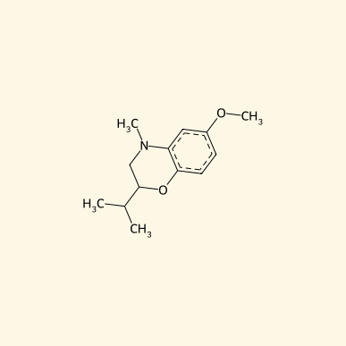 COc1ccc2c(c1)N(C)CC(C(C)C)O2